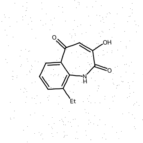 CCc1cccc2c(=O)cc(O)c(=O)[nH]c12